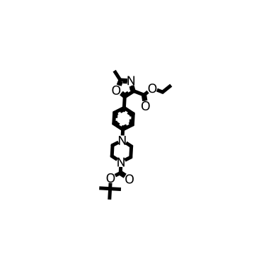 CCOC(=O)c1nc(C)oc1-c1ccc(N2CCN(C(=O)OC(C)(C)C)CC2)cc1